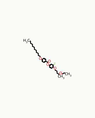 CCCCCCCCCCCCOc1ccc(C(=O)Oc2ccc(OCCCC(C)OCCC)c(F)c2)cc1